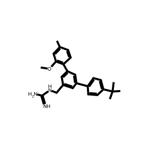 COc1cc(C)ccc1-c1cc(CNC(=N)N)cc(-c2ccc(C(C)(C)C)cc2)c1